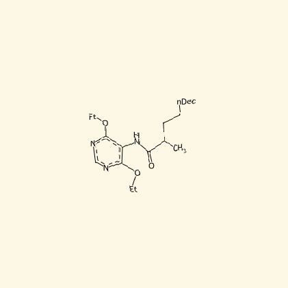 CCCCCCCCCCCCC(C)C(=O)Nc1c(OCC)ncnc1OCC